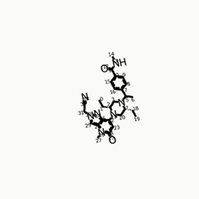 CC[C@H]1CN(C(C)c2ccc(C(=O)NC)cc2)[C@H](CC)CN1c1cc(=O)n(C)c2cn(CC#N)nc12